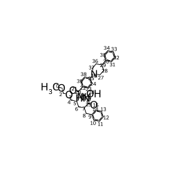 COCOC[C@H](C[C@H](Cc1ccccc1)C(=O)NO)NC(=O)c1ccc(N2CCC(c3ccccc3)CC2)cc1